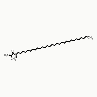 C=C(C)C(=O)NCCCCCCCCCCCCCCCCCCCCCCCCCCCCCC